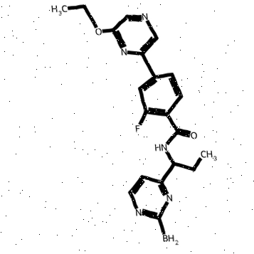 Bc1nccc(C(CC)NC(=O)c2ccc(-c3cncc(OCC)n3)cc2F)n1